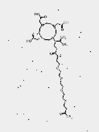 C=C(C)C(CCC(=O)NCCOCCOCCOCCOCCC(C)=O)N1CCN(CC(=O)O)CCN(CC(=O)O)CCN(CC(=O)O)CC1